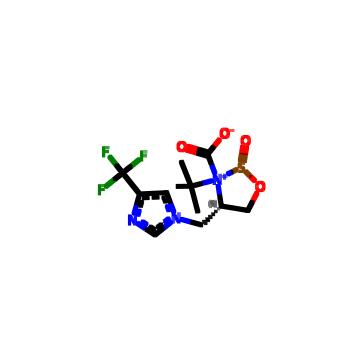 CC(C)(C)[N+]1(C(=O)[O-])[C@@H](Cn2cnc(C(F)(F)F)c2)COS1=O